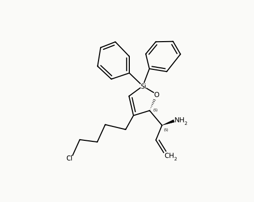 C=C[C@H](N)[C@H]1O[Si](c2ccccc2)(c2ccccc2)C=C1CCCCCl